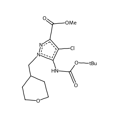 COC(=O)c1nn(CC2CCOCC2)c(NC(=O)OC(C)(C)C)c1Cl